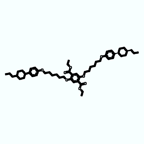 CCCC1CCC(c2ccc(OCCCCCCOc3cc(C(=O)OCC)c(OCCCCCCOc4ccc([C@H]5CC[C@H](CCC)CC5)cc4)cc3C(=O)OCC)cc2)CC1